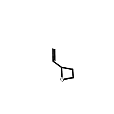 C=CC1CCO1